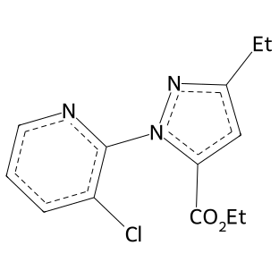 CCOC(=O)c1cc(CC)nn1-c1ncccc1Cl